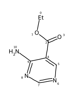 CCOC(=O)c1cn[c]nc1N